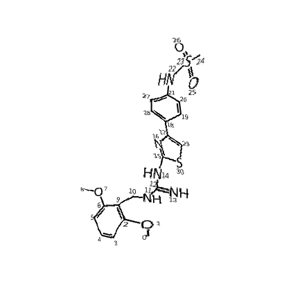 COc1cccc(OC)c1CNC(=N)Nc1nc(-c2ccc(NS(C)(=O)=O)cc2)cs1